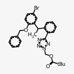 CC(c1cc(Br)ccc1OCc1ccccc1)c1ccccc1-c1nnn(COC(=O)C(C)(C)C)n1